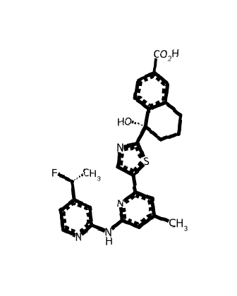 Cc1cc(Nc2cc([C@@H](C)F)ccn2)nc(-c2cnc([C@]3(O)CCCc4cc(C(=O)O)ccc43)s2)c1